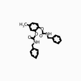 Cc1ccc(OC(=O)NCc2ccccc2)c(OC(=O)NCc2ccccc2)c1